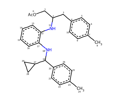 CC(=O)OCC(Cc1ccc(C)cc1)Nc1ccccc1NC(c1ccc(C)cc1)C1CC1